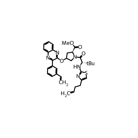 C=CCCc1csc(N[C@H](C(=O)N2CC(Oc3nc4ccccc4nc3-c3cccc(C=C)c3)C[C@H]2C(=O)OC)C(C)(C)C)n1